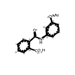 COc1cccc(NC(=O)c2ccccc2C(=O)O)c1